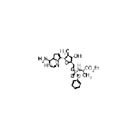 CCOC(=O)[C@H](C)NP(=O)(OC[C@H]1O[C@@H](C2=CCC3C(N)NC=NN23)C(C)[C@@H]1O)Oc1ccccc1